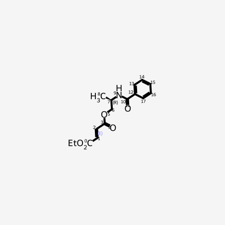 CCOC(=O)/C=C/C(=O)OC[C@@H](C)NC(=O)c1ccccc1